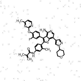 C=C(C)C(=O)Nc1ccc(-c2sc3c(-c4cnn(C5CCOCC5)c4)cnc(N)c3c2-c2ccc(Oc3nccc(C)n3)c(F)c2)c(C)c1